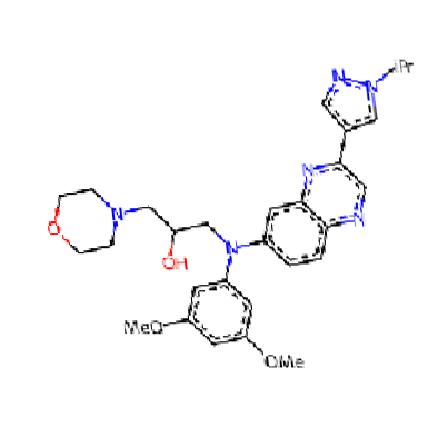 COc1cc(OC)cc(N(CC(O)CN2CCOCC2)c2ccc3ncc(-c4cnn(C(C)C)c4)nc3c2)c1